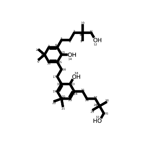 CC1(C)C=C(CCCC(C)(C)CO)C(O)C(CCC2=CC(C)(C)C=C(CCCC(C)(C)CO)C2O)=C1